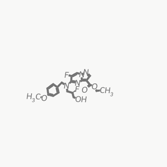 CCOC(=O)c1cnn2cc(F)c(N(Cc3ccc(OC)cc3)C[C@@H](F)CO)nc12